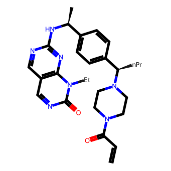 C=CC(=O)N1CCN([C@H](CCC)c2ccc([C@H](C)Nc3ncc4cnc(=O)n(CC)c4n3)cc2)CC1